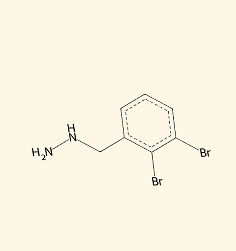 NNCc1cccc(Br)c1Br